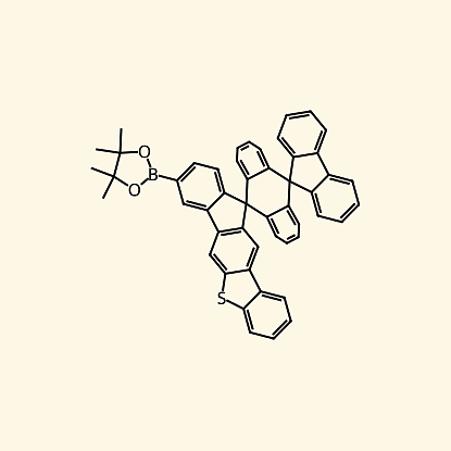 CC1(C)OB(c2ccc3c(c2)-c2cc4sc5ccccc5c4cc2C32c3ccccc3C3(c4ccccc4-c4ccccc43)c3ccccc32)OC1(C)C